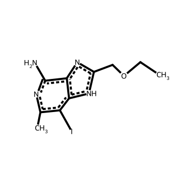 CCOCc1nc2c(N)nc(C)c(I)c2[nH]1